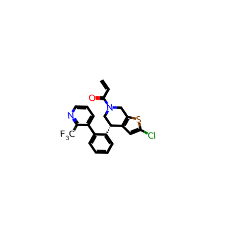 C=CC(=O)N1Cc2sc(Cl)cc2[C@H](c2ccccc2-c2cccnc2C(F)(F)F)C1